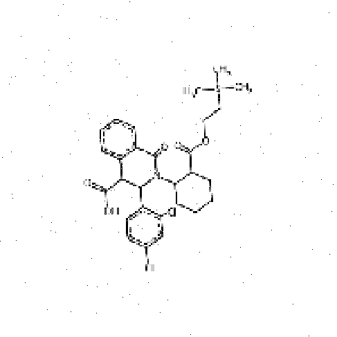 CS(C)(C)CCOC(=O)C1CCCCC1N1C(=O)c2ccccc2C(C(=O)O)C1c1ccc(Cl)cc1Cl